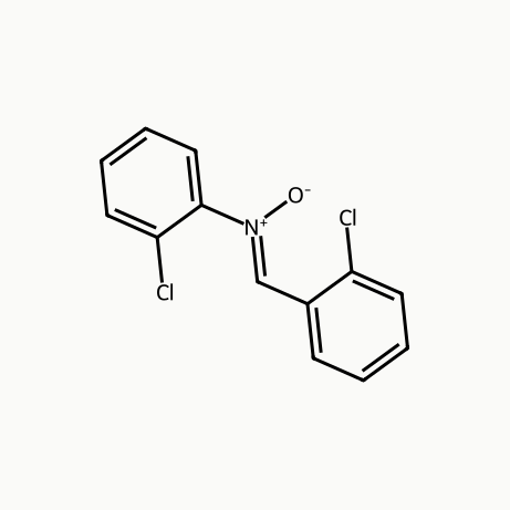 [O-][N+](=Cc1ccccc1Cl)c1ccccc1Cl